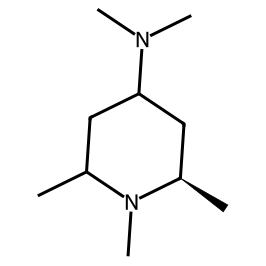 CC1CC(N(C)C)C[C@@H](C)N1C